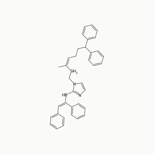 CC(=CCCC(c1ccccc1)c1ccccc1)[SiH2]Cn1ccnc1BC(=Cc1ccccc1)c1ccccc1